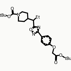 CCC(c1nc(-c2ccc(OCC(=O)OC(C)(C)C)cc2)no1)C1CCN(C(=O)OC(C)(C)C)CC1